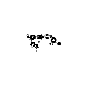 COc1cc(CN2CCN(C3CC4(C3)CN(c3ccc(C=O)c(Oc5cnc6[nH]cc(F)c6c5)c3)C4)CC2)ccc1OC1CC1